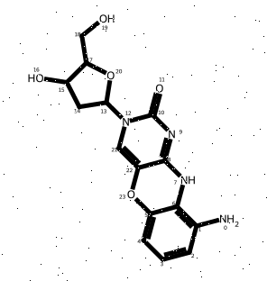 Nc1cccc2c1Nc1nc(=O)n(C3CC(O)C(CO)O3)cc1O2